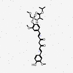 COCP(=O)(NC(C)C(=O)OC(C)C)Oc1ccc(/C=C/C(=O)CC(=O)/C=C/c2ccc(O)c(OC)c2)cc1OC